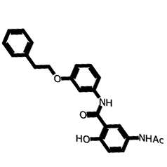 CC(=O)Nc1ccc(O)c(C(=O)Nc2cccc(OCCc3ccccc3)c2)c1